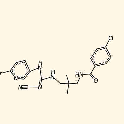 CC(C)(CNC(=O)c1ccc(Cl)cc1)CNC(=NC#N)Nc1ccc(Br)nc1